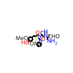 COc1cc(/C=C2\S/C(=N\c3ccccc3)N([C@@H](C)C(=O)N[C@H](C=O)CN)C2=O)cc(OC)c1O